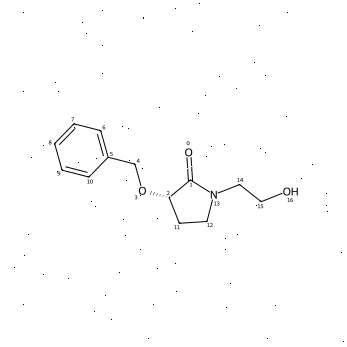 O=C1[C@@H](OCc2ccccc2)CCN1CCO